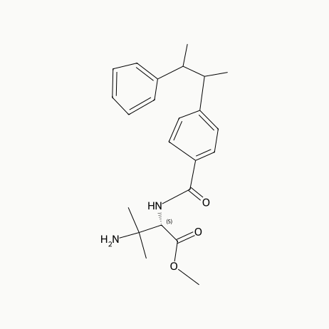 COC(=O)[C@@H](NC(=O)c1ccc(C(C)C(C)c2ccccc2)cc1)C(C)(C)N